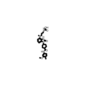 COc1cc(NC(=O)C2CCC(n3c(=O)[nH]c4c(N(C)CCCNC(=O)O)cccc43)CC2)ccc1C